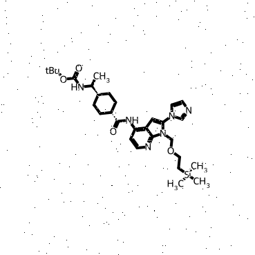 CC(NC(=O)OC(C)(C)C)[C@H]1CC[C@H](C(=O)Nc2ccnc3c2cc(-n2ccnc2)n3COCC[Si](C)(C)C)CC1